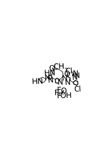 C[C@@H]1CCC[C@H](n2cnc(-c3cc(Cl)ccc3-n3cc(Cl)nn3)cc2=O)c2cc(ccn2)-c2nn(C3CCNCC3)cc2NC1=O.O=C(O)C(F)(F)F